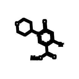 COC(=O)c1cn(C2CCOCC2)c(=O)cc1Br